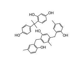 CC(C)(c1ccc(O)cc1)c1ccc(O)cc1O.Cc1ccc(O)c(Cc2cc(O)c(Cc3cc(C)ccc3O)cc2C)c1